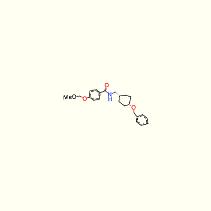 COCOc1ccc(C(=O)NC[C@H]2CC[C@@H](OCc3ccccc3)CC2)cc1